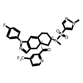 CN([C@@H]1CCC2=Cc3c(cnn3-c3ccc(F)cc3)C[C@]2(C(=O)c2cc(C(F)(F)F)ccn2)C1)S(=O)(=O)c1cnn(C)c1